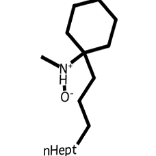 CCCCCCCCCCC1([NH+](C)[O-])CCCCC1